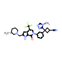 C[C@@H]1CCCN(Cc2cc3c(C(F)(F)F)cn(-c4cccc(C5(c6nncn6C)CC(C#N)C5)c4)c(=O)c3[nH]2)C1